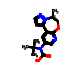 C[C@H]1COc2ncc(N(C(=O)O)C(C)(C)C)cc2-c2ccnn21